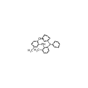 Cc1ccc(O)c(Pc2c(C)cccc2P(c2ccccc2)c2ccccc2)c1